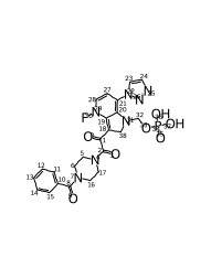 O=C(C(=O)N1CCN(C(=O)c2ccccc2)CC1)C1=C2C(=C(n3ccnn3)C=CN2F)N(COP(=O)(O)O)C1